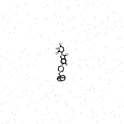 O=C1CCC(N2Cc3cc(N4CCN(CC56CC7CC(CC(C7)C5)C6)CC4)c(F)cc3C2=O)C(=O)N1